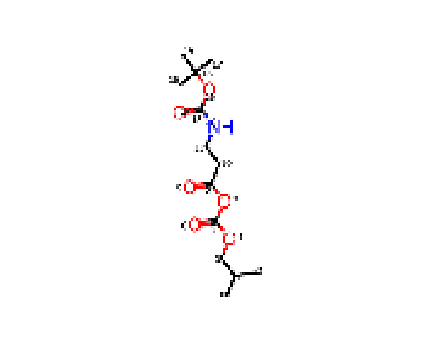 CC(C)COC(=O)OC(=O)CCNC(=O)OC(C)(C)C